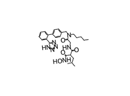 CCCCCN(Cc1ccc(-c2ccccc2-c2nnn[nH]2)cc1)C(=O)CNC(=O)C(CC(C)C)C(=O)NO